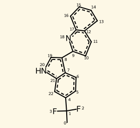 CC(F)(F)c1ccc2c(-c3ccc4ccccc4n3)c[nH]c2c1